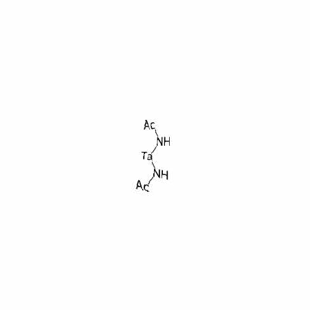 CC(=O)[NH][Ta][NH]C(C)=O